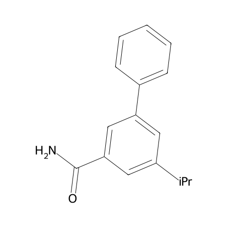 CC(C)c1cc(C(N)=O)cc(-c2ccccc2)c1